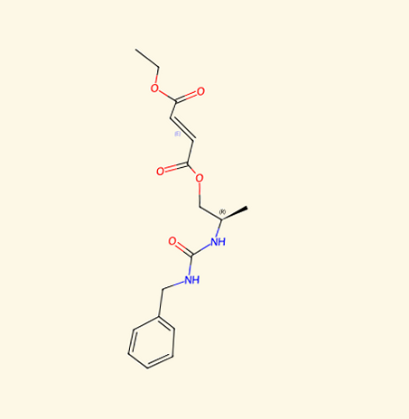 CCOC(=O)/C=C/C(=O)OC[C@@H](C)NC(=O)NCc1ccccc1